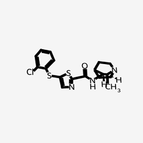 C[C@H]1[C@H](NC(=O)c2ncc(Sc3ccccc3Cl)s2)C2CCN1CC2